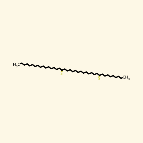 CCCCCCCCCCCCCCCCC(=S)CCCCCCCCCCCCCC(=S)CCCCCCCCC